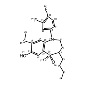 CCCCC1CCN(c2ccc(F)c(F)c2)c2cc(SC)c(O)cc2S1(=O)=O